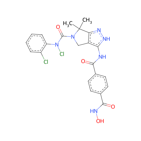 CC1(C)c2n[nH]c(NC(=O)c3ccc(C(=O)NO)cc3)c2CN1C(=O)N(Cl)c1ccccc1Cl